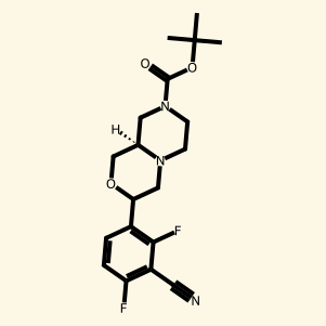 CC(C)(C)OC(=O)N1CCN2CC(c3ccc(F)c(C#N)c3F)OC[C@H]2C1